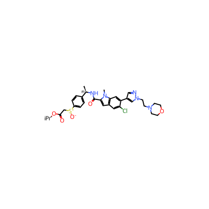 CC(C)OC(=O)C[S+]([O-])c1ccc([C@@H](C)NC(=O)c2cc3cc(Cl)c(-c4cnn(CCN5CCOCC5)c4)cc3n2C)cc1